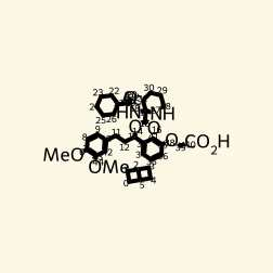 C1CC2CCC12.COc1ccc(CCC(OC(=O)C2(NC(=O)C3CCCCC3)NCCCC2C(C)=O)c2cccc(OCC(=O)O)c2)cc1OC